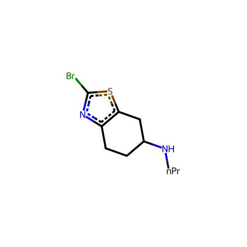 CCCNC1CCc2nc(Br)sc2C1